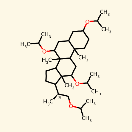 CC(C)OC[C@@H](C)C1CCC2C1(C)C(OC(C)C)CC1C3(C)CCC(OC(C)C)CC3CC(OC(C)C)C12C